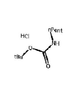 CCCCCNC(=O)OC(C)(C)C.Cl